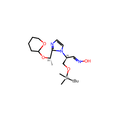 C[C@H](OC1CCCCO1)c1nccn1[C@@H](C=NO)CO[Si](C)(C)C(C)(C)C